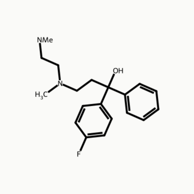 CNCCN(C)CCC(O)(c1ccccc1)c1ccc(F)cc1